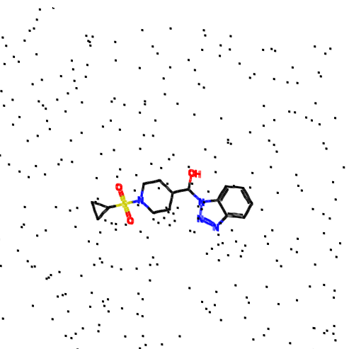 O=S(=O)(C1CC1)N1CCC(C(O)n2nnc3ccccc32)CC1